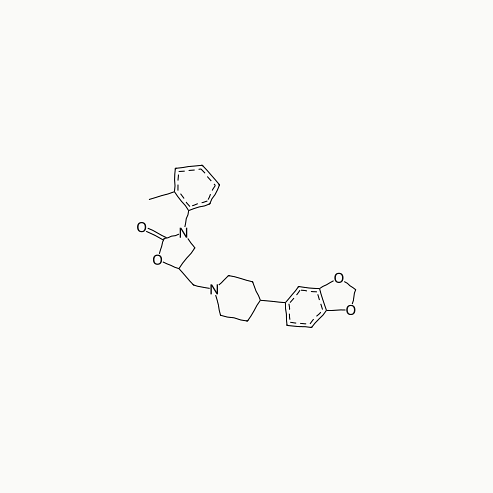 Cc1ccccc1N1CC(CN2CCC(c3ccc4c(c3)OCO4)CC2)OC1=O